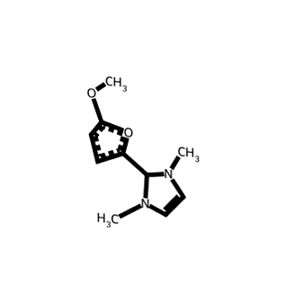 COc1ccc(C2N(C)C=CN2C)o1